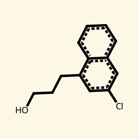 OCCCc1cc(Cl)cc2ccccc12